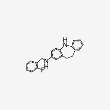 Fc1ccccc1CNc1ccc2c(c1)CCc1ccccc1N2